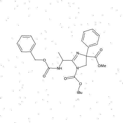 COC(=O)C1(c2ccccc2)CN(C(=O)OC(C)(C)C)C(C(C)NC(=O)OCc2ccccc2)=N1